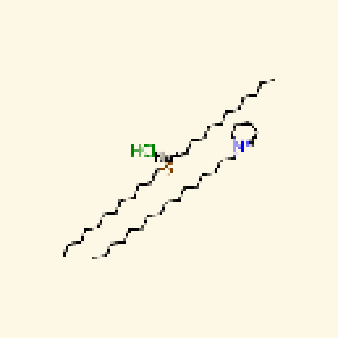 CCCCCCCCCCCCCCCC[n+]1ccccc1.CCCCCCCCCCCCSCCCCCCCCCCCC.Cl.[Na+]